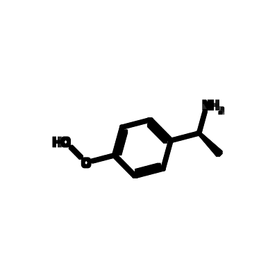 C[C@H](N)c1ccc(OO)cc1